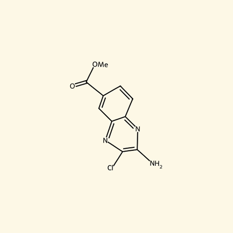 COC(=O)c1ccc2nc(N)c(Cl)nc2c1